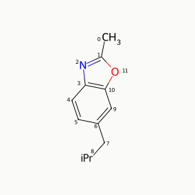 Cc1nc2ccc(CC(C)C)cc2o1